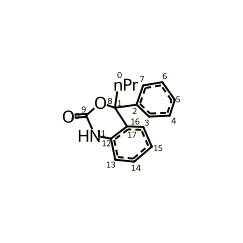 CCCC1(c2ccccc2)OC(=O)Nc2ccccc21